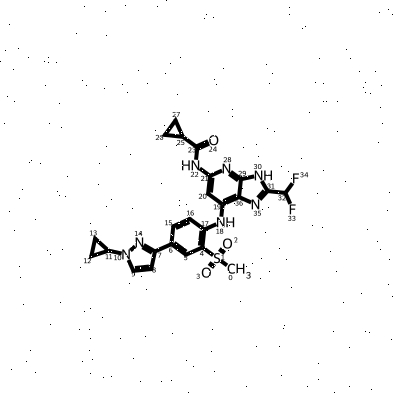 CS(=O)(=O)c1cc(-c2ccn(C3CC3)n2)ccc1Nc1cc(NC(=O)C2CC2)nc2[nH]c(C(F)F)nc12